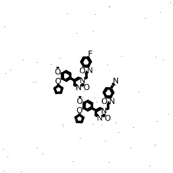 COc1ccc(-c2cnc(=O)n(Cc3nc4cc(C#N)ccc4o3)c2)cc1OC1CCCC1.COc1ccc(-c2cnc(=O)n(Cc3nc4cc(F)ccc4o3)c2)cc1OC1CCCC1